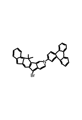 CC1(C)C2=c3ccccc3=CC2=Cc2c(Br)c3ccn(-c4ccc5c6ccccc6c6ccccc6c5c4)cc-3c21